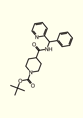 CC(C)(C)OC(=O)N1CCC(C(=O)NC(c2ccccc2)c2ccccn2)CC1